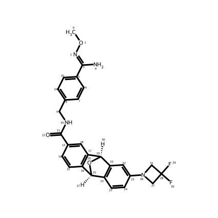 CON=C(N)c1ccc(CNC(=O)c2ccc3c(c2)[C@@H]2O[C@H]3c3ccc(N4CC(F)(F)C4)cc32)cc1